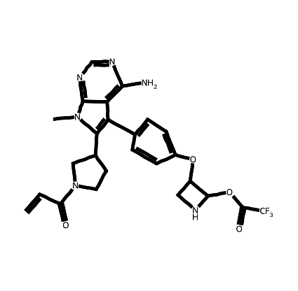 C=CC(=O)N1CCC(c2c(-c3ccc(OC4CNC4OC(=O)C(F)(F)F)cc3)c3c(N)ncnc3n2C)C1